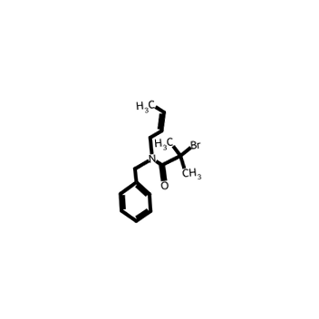 C/C=C\CN(Cc1ccccc1)C(=O)C(C)(C)Br